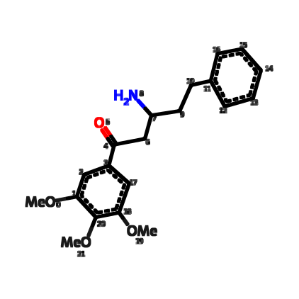 COc1cc(C(=O)CC(N)CCc2ccccc2)cc(OC)c1OC